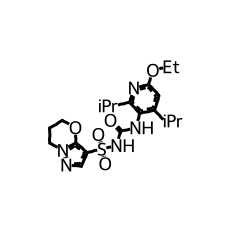 CCOc1cc(C(C)C)c(NC(=O)NS(=O)(=O)c2cnn3c2OCCC3)c(C(C)C)n1